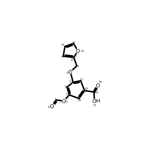 O=COc1cc(OCc2ccco2)cc(C(=O)O)c1